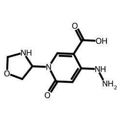 NNc1cc(=O)n(C2COCN2)cc1C(=O)O